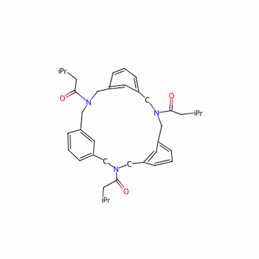 CC(C)CC(=O)N1Cc2cccc(c2)CN(C(=O)CC(C)C)Cc2cccc(c2)CN(C(=O)CC(C)C)Cc2cccc(c2)C1